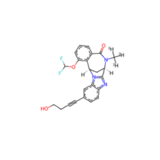 [2H]C([2H])([2H])N1C(=O)c2cccc(OC(F)F)c2[C@H]2C[C@@H]1c1nc3ccc(C#CCCO)cc3n12